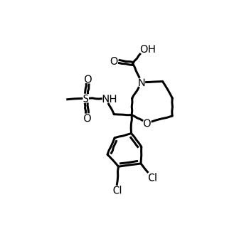 CS(=O)(=O)NCC1(c2ccc(Cl)c(Cl)c2)CN(C(=O)O)CCCO1